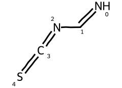 N=CN=C=S